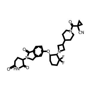 N#CC1(C(=O)N2CCC(C3CN([C@@H]4[C@@H](Oc5ccc6c(c5)CN(C5CCC(=O)NC5=O)C6=O)CCCC4(F)F)C3)CC2)CC1